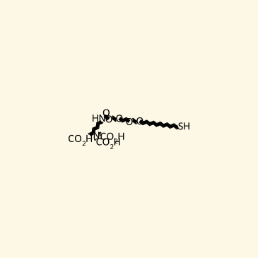 O=C(O)CC(CCCCNC(=O)OCCOCCOCCOCCCCCCCCCCCS)N(CC(=O)O)CC(=O)O